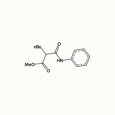 CCCCC(C(=O)Nc1ccccc1)C(=O)OC